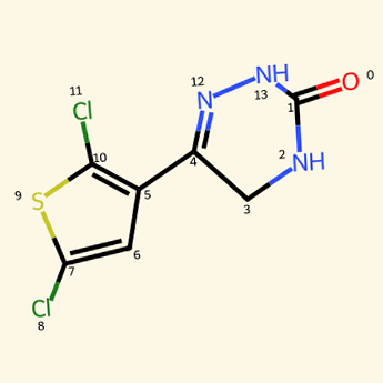 O=C1NCC(c2cc(Cl)sc2Cl)=NN1